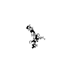 Cc1cnn(-c2nc(N)c(C(=O)NCc3cn4ccsc4n3)nc2Cl)c1